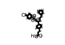 O=C(O)CCc1ccc(C(CCCc2cccnc2)CNS(=O)(=O)c2ccc(Cl)cc2)cc1